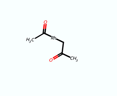 CC(=O)[CH2][Rh][C](C)=O